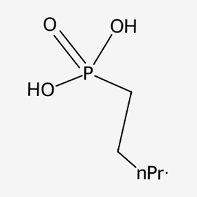 CC[CH]CCP(=O)(O)O